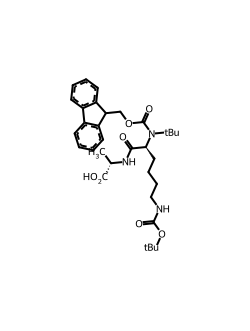 C[C@H](NC(=O)[C@H](CCCCNC(=O)OC(C)(C)C)N(C(=O)OCC1c2ccccc2-c2ccccc21)C(C)(C)C)C(=O)O